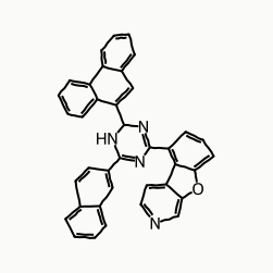 c1ccc2cc(C3=NC(c4cccc5oc6cnccc6c45)=NC(c4cc5ccccc5c5ccccc45)N3)ccc2c1